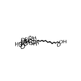 O=C(O)CCCCCCCCCCCCCC(O)[C@H](O)[C@H]1OC(=O)C(OP(=O)(O)O)=C1O